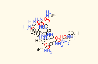 CC(C)C[C@H](N)C(=O)OC[C@H](N)C(=O)OC(=O)[C@@H](N)CCC(N)=O.CC(C)C[C@H](N)C(=O)Oc1ccc(C[C@H](N)C(=O)OC[C@@H](N)C(=O)O)cc1.N[C@@H](CC1CCCCC1)C(=O)O.N[C@@H](CO)C(=O)O.N[C@@H](Cc1c[nH]c2ccccc12)C(=O)O.N[C@@H](Cc1ccccc1)C(=O)O